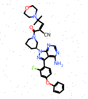 CC(C)(/C=C(/C#N)C(=O)N1CCC[C@H](n2nc(-c3ccc(Oc4ccccc4)cc3F)c3c(N)ncnc32)C1)N1CCOCC1